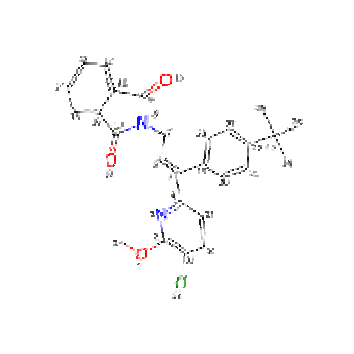 COc1nc(/C(=C/CN2C(=O)c3ccccc3C2=O)c2ccc(C(C)(C)C)cc2)ccc1Cl